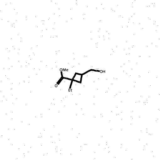 CCC1(C(=O)OC)CC(CO)C1